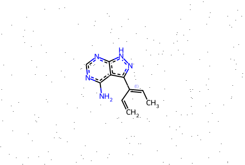 C=C/C(=C\C)c1n[nH]c2ncnc(N)c12